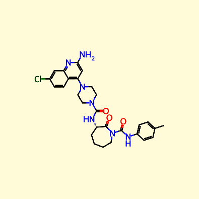 Cc1ccc(NC(=O)N2CCCC[C@H](NC(=O)N3CCN(c4cc(N)nc5cc(Cl)ccc45)CC3)C2=O)cc1